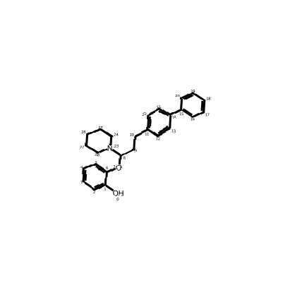 Oc1ccccc1OC(CCc1ccc(-c2ccccc2)cc1)N1CCCCC1